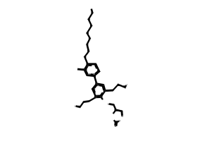 CCCCCCCCCc1ccc(-c2cc(CCCO)c(OCC3COC(=O)O3)c(CCCO)c2)cc1F